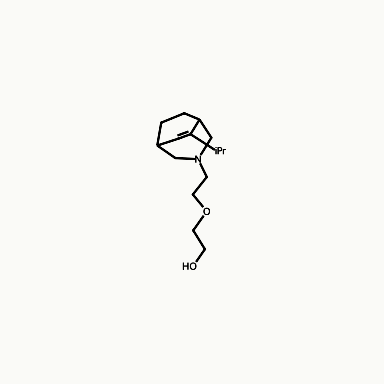 CC(C)C1=CC2CCC1CN(CCOCCO)C2